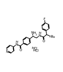 CCCCC(C(=O)NC[C@H](N)c1ccc(C(=O)Nc2ccncc2)cc1)c1ccc(F)cc1.Cl.Cl